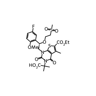 CCOC(=O)c1sc2c(c1C)c(=O)n(C(C)(C)C(=O)O)c(=O)n2C[C@H](OCCS(C)(=O)=O)c1cc(F)ccc1OC